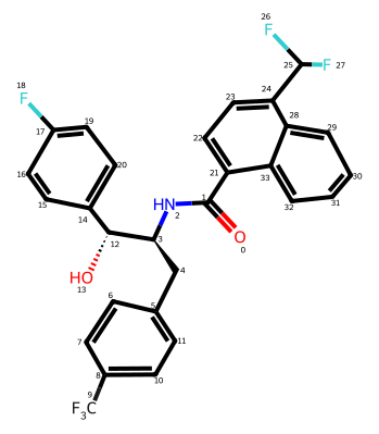 O=C(N[C@@H](Cc1ccc(C(F)(F)F)cc1)[C@H](O)c1ccc(F)cc1)c1ccc(C(F)F)c2ccccc12